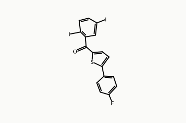 O=C(c1ccc(-c2ccc(F)cc2)s1)c1cc(I)ccc1I